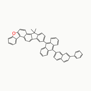 CC1(C)c2ccc(-c3c4ccccc4c(-c4ccc5ccc(-c6ccccc6)cc5c4)c4ccccc34)cc2-c2ccc3c(ccc4oc5ccccc5c43)c21